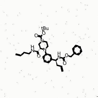 C=CCCNC(=O)[C@@H]1CN(C(=O)OC(C)(C)C)CCN1c1cccc([C@H](CC=C)NC(=O)OCc2ccccc2)c1